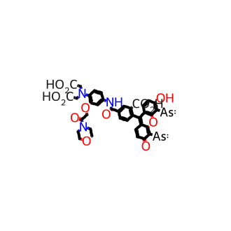 O=C(O)CN(CC(=O)O)c1ccc(NC(=O)c2ccc(-c3c4ccc(=O)c([As])c-4oc4c([As])c(O)ccc34)c(C(=O)O)c2)cc1OCC(=O)N1CCOCC1